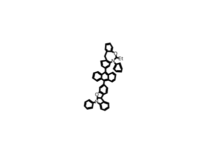 CCC1Oc2ccccc2Cc2ccc(-c3c4ccccc4c(-c4ccc5c(c4)OC4C5c5ccccc5N4c4ccccc4)c4ccccc34)cc2N1c1ccccc1